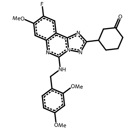 COc1ccc(CNc2nc3cc(OC)c(F)cc3c3nc(C4CCCC(=O)C4)nn23)c(OC)c1